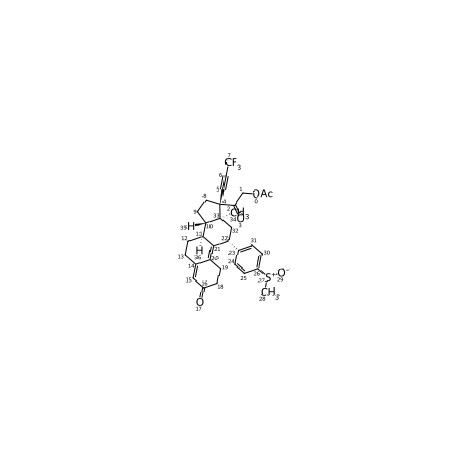 CC(=O)OCC(=O)[C@@]1(C#CC(F)(F)F)CC[C@H]2[C@@H]3CCC4=CC(=O)CCC4=C3[C@@H](c3ccc([S+](C)[O-])cc3)C[C@@]21C